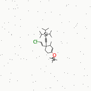 CC1C=C(O[Si](C)(C)C)CCC1(C#C[Si](C(C)C)(C(C)C)C(C)C)C=CCl